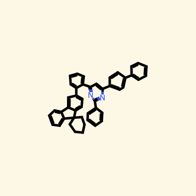 c1ccc(-c2ccc(-c3cc(-c4ccccc4-c4ccc5c(c4)-c4ccccc4C54CCCCC4)nc(-c4ccccc4)n3)cc2)cc1